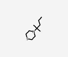 CCCC(C)(C)N1CCSCC1